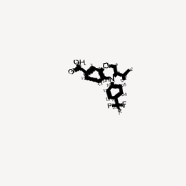 CC(C)C1COc2cc(C(=O)O)ccc2N1c1ccc(C(F)(F)F)cc1